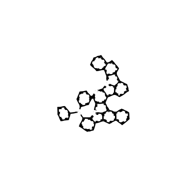 c1ccc(N(c2ccccc2)c2cccc3c4cc5ccccc5c5c6c7c8cccc9c%10ccc%11ccccc%11c%10n(c7ncc6n(c23)c45)c98)cc1